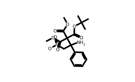 COC(=O)C(C(=O)OC)(C(=O)OC(C)(C)C)C(N)(C[N+](=O)[O-])c1ccccc1